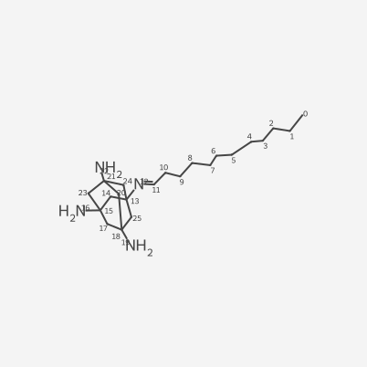 CCCCCCCCCCCC=NC12CC3(N)CC(N)(CC(N)(C3)C1)C2